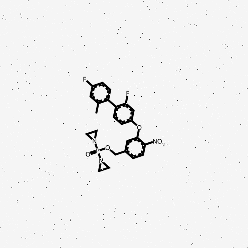 Cc1cc(F)ccc1-c1ccc(Oc2cc(COP(=O)(N3CC3)N3CC3)ccc2[N+](=O)[O-])cc1F